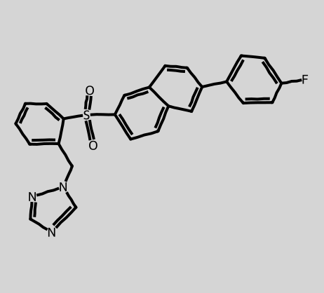 O=S(=O)(c1ccc2cc(-c3ccc(F)cc3)ccc2c1)c1ccccc1Cn1cncn1